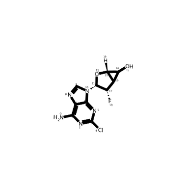 Nc1nc(Cl)nc2c1ncn2[C@@H]1O[C@@H]2C(O)C2[C@@H]1F